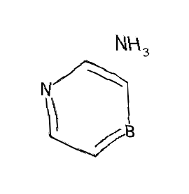 N.b1ccncc1